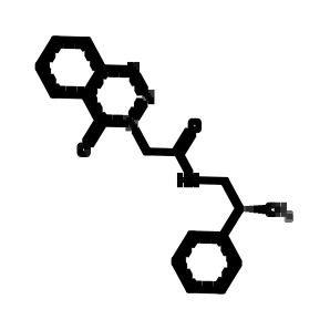 C[C@@H](CNC(=O)Cn1nnc2ccccc2c1=O)c1ccccc1